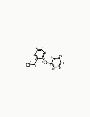 ClCc1c[c]ccc1Oc1ccccc1